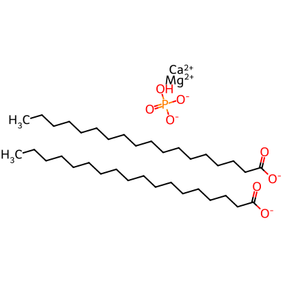 CCCCCCCCCCCCCCCCCC(=O)[O-].CCCCCCCCCCCCCCCCCC(=O)[O-].O=P([O-])([O-])O.[Ca+2].[Mg+2]